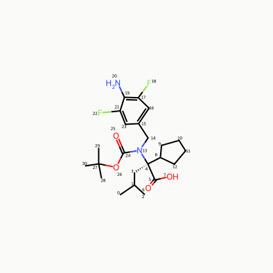 CC(C)C[C@@](C(=O)O)(C1CCCC1)N(Cc1cc(F)c(N)c(F)c1)C(=O)OC(C)(C)C